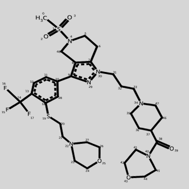 CS(=O)(=O)N1CCc2c(c(-c3ccc(C(F)(F)F)c(SCCN4CCOCC4)c3)nn2CCCN2CCC(C(=O)N3CCOCC3)CC2)C1